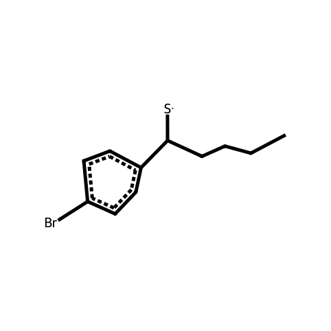 CCCCC([S])c1ccc(Br)cc1